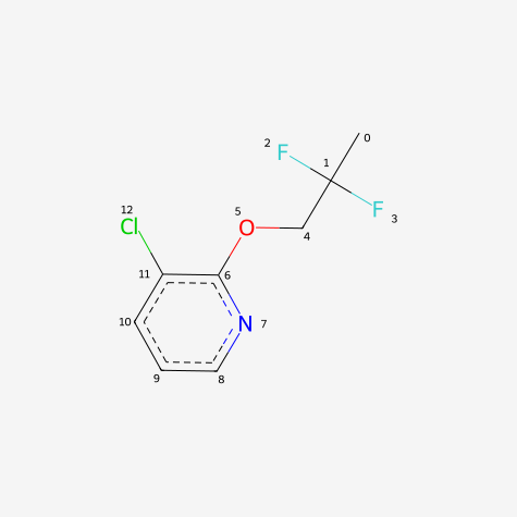 CC(F)(F)COc1ncccc1Cl